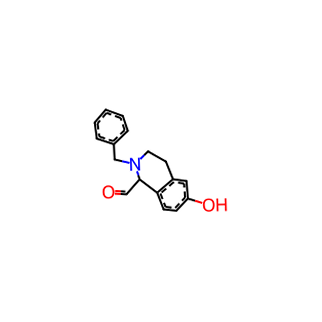 O=CC1c2ccc(O)cc2CCN1Cc1ccccc1